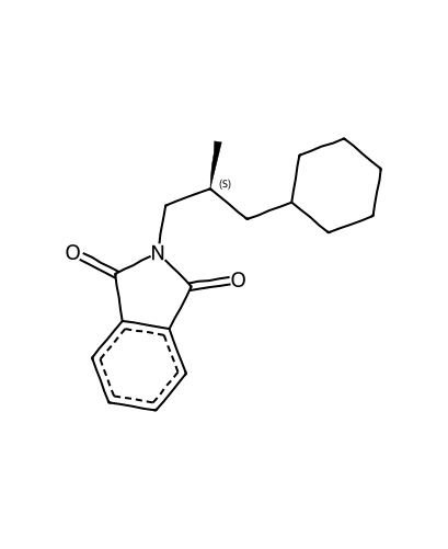 C[C@@H](CC1CCCCC1)CN1C(=O)c2ccccc2C1=O